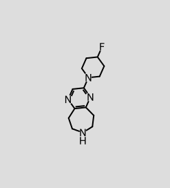 FC1CCN(c2cnc3c(n2)CCNCC3)CC1